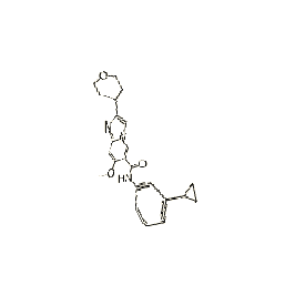 COc1cc2nc(C3CCOCC3)cn2cc1C(=O)Nc1cccc(C2CC2)c1